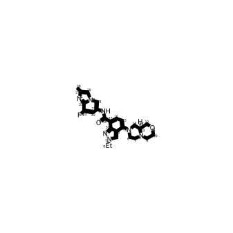 CCn1cc2c(N3CCN4CCOC[C@@H]4C3)ccc(C(=O)Nc3cc(F)c4nc(C)cn4c3)c2n1